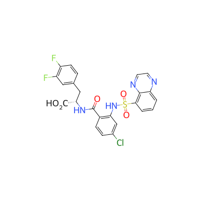 O=C(N[C@@H](Cc1ccc(F)c(F)c1)C(=O)O)c1ccc(Cl)cc1NS(=O)(=O)c1cccc2nccnc12